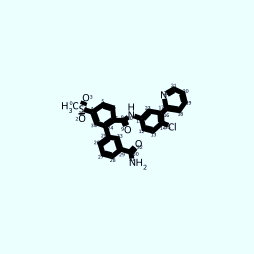 CS(=O)(=O)c1ccc(C(=O)Nc2ccc(Cl)c(-c3ccccn3)c2)c(-c2cccc(C(N)=O)c2)c1